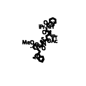 COC(=O)[C@@H](C)C[C@H](Cc1cn(C)c2ccccc12)NC(=O)c1csc([C@@H](C[C@H](C(C)C)N(C)C(=O)[C@@H](NC(=O)[C@H]2CCCCN2C)C(C)C)OC(C)=O)n1